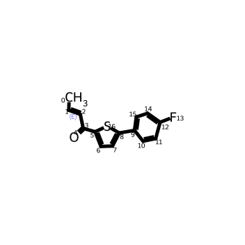 C/C=C/C(=O)c1ccc(-c2ccc(F)cc2)s1